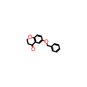 O=C1CCOc2ccc(OCc3ccccc3)cc21